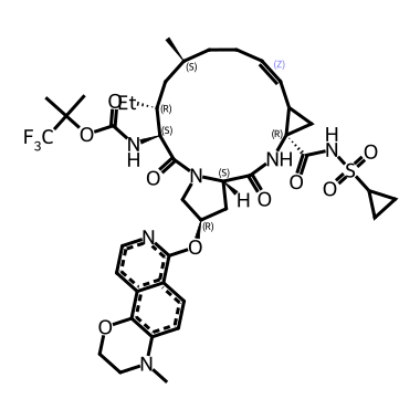 CC[C@@H]1C[C@@H](C)CC/C=C\C2C[C@@]2(C(=O)NS(=O)(=O)C2CC2)NC(=O)[C@@H]2C[C@@H](Oc3nccc4c5c(ccc34)N(C)CCO5)CN2C(=O)[C@H]1NC(=O)OC(C)(C)C(F)(F)F